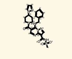 CS(=O)(=O)NC(=O)c1cnn2c(NCc3ccccc3)c(C(=O)N3CCC(n4cccn4)CC3)cnc12